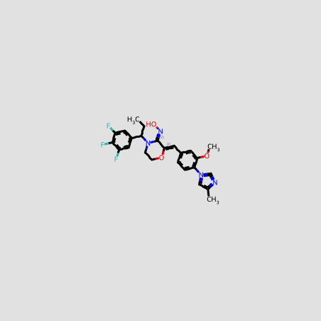 CCC(c1cc(F)c(F)c(F)c1)N1CCOC(=C\c2ccc(-n3cnc(C)c3)c(OC)c2)/C1=N/O